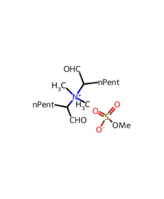 CCCCCC(C=O)[N+](C)(C)C(C=O)CCCCC.COS(=O)(=O)[O-]